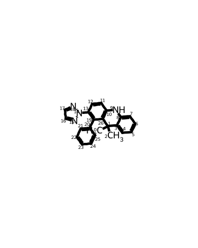 CC1(C)c2ccccc2Nc2ccc(-n3nccn3)c(-c3ccccc3)c21